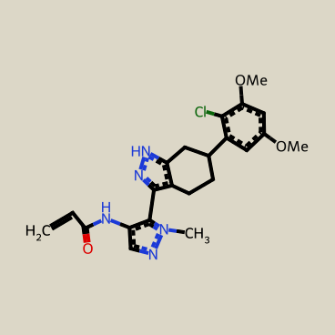 C=CC(=O)Nc1cnn(C)c1-c1n[nH]c2c1CCC(c1cc(OC)cc(OC)c1Cl)C2